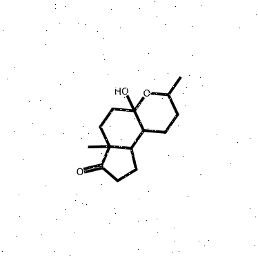 CC1CCC2C3CCC(=O)C3(C)CCC2(O)O1